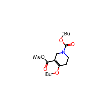 CCC(C)OC1=C(C(=O)OC)CN(C(=O)OC(C)(C)C)CC1